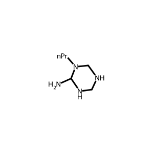 CCCN1CNCNC1N